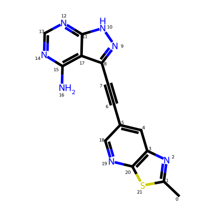 Cc1nc2cc(C#Cc3n[nH]c4ncnc(N)c34)cnc2s1